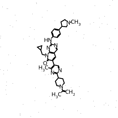 C=C(C)N1CCC(c2ncc(-c3cc4cnc(Nc5ccc(C6CCN(C)C6)cc5)nc4n(CC4CC4)c3=O)c(C)n2)CC1